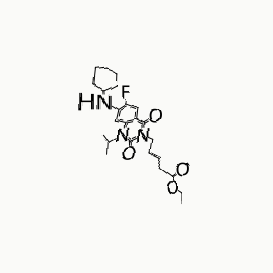 CCOC(=O)CCCCn1c(=O)c2cc(F)c(NC3CCCCC3)cc2n(C(C)C)c1=O